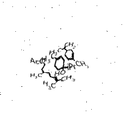 C=C(C)C1CC=C(C)CC1.CC(=O)OCCC(C)CCC=C(C)C.CC1=CCC(O)(C(C)C)CC1